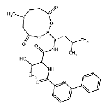 CC(C)C[C@H](NC(=O)C(NC(=O)c1cccc(-c2ccccc2)n1)[C@@H](C)O)B1OC(=O)CCN(C)CC(=O)O1